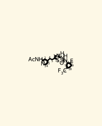 CC(=O)Nc1cc(CCc2cnc(NC(=O)Nc3cc(C(F)(F)F)ccc3F)s2)ccn1